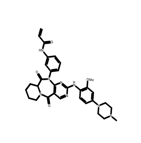 C=CC(=O)Nc1cccc(N2C(=O)C3CCCCN3C(=O)c3cnc(Nc4ccc(N5CCN(C)CC5)cc4OC)nc32)c1